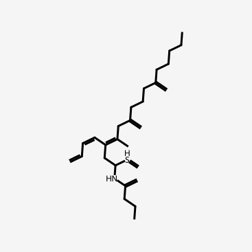 C=C/C=C\C(CC(NC(=C)CCC)[SH]=C)=C(\C)CC(=C)CCCC(=C)CCCCC